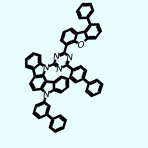 c1ccc(-c2ccc(-c3nc(-c4cccc5c4oc4cccc(-c6ccccc6)c45)nc(-n4c5ccccc5c5ccc6c(c7ccccc7n6-c6cccc(-c7ccccc7)c6)c54)n3)cc2)cc1